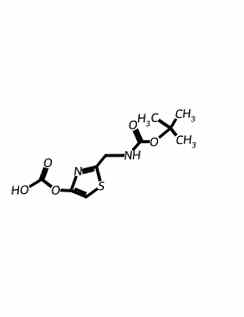 CC(C)(C)OC(=O)NCc1nc(OC(=O)O)cs1